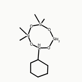 C[Si]1(C)O[SiH2]O[SiH](C2CCCCC2)O[Si](C)(C)O1